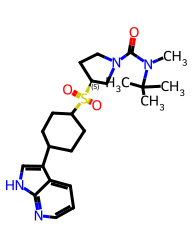 CN(C(=O)N1CC[C@H](S(=O)(=O)C2CCC(c3c[nH]c4ncccc34)CC2)C1)C(C)(C)C